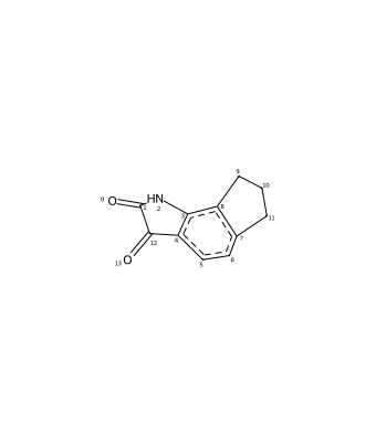 O=C1Nc2c(ccc3c2CCC3)C1=O